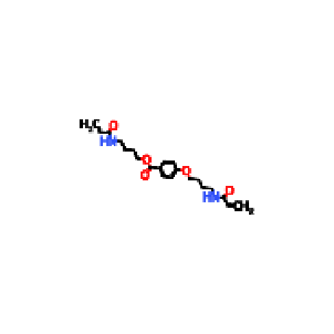 C=CC(=O)NCCCCOC(=O)c1ccc(OCCCCNC(=O)C=C)cc1